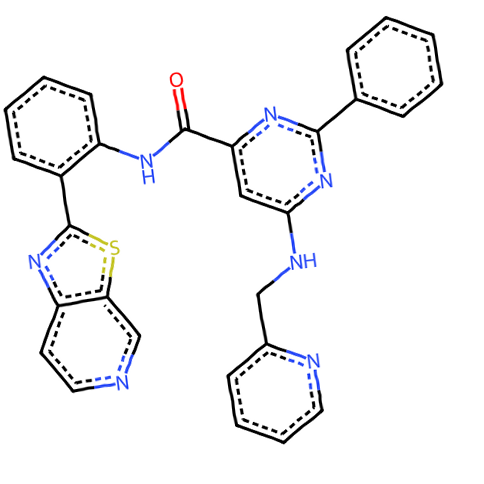 O=C(Nc1ccccc1-c1nc2ccncc2s1)c1cc(NCc2ccccn2)nc(-c2ccccc2)n1